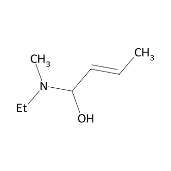 C/C=C/C(O)N(C)CC